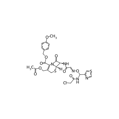 COc1ccc(COC(=O)C2=C(COC(C)=O)CS[C@H]3[C@H](NC(=O)C=NOC(NC(=O)CCl)c4cscn4)C(=O)N23)cc1